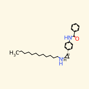 CCCCCCCCCCCCN[C@@H]1C[C@H]1c1ccc(NC(=O)c2ccccc2)cc1